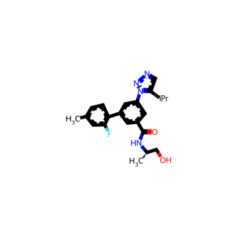 Cc1ccc(-c2cc(C(=O)N[C@@H](C)CO)cc(-n3nncc3C(C)C)c2)c(F)c1